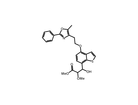 COC(=O)C(OC)C(O)c1ccc(OCCc2nc(-c3ccccc3)oc2C)c2ccsc12